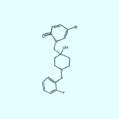 O=c1ccc(Br)cn1CC1(O)CCN(Cc2ccccc2F)CC1